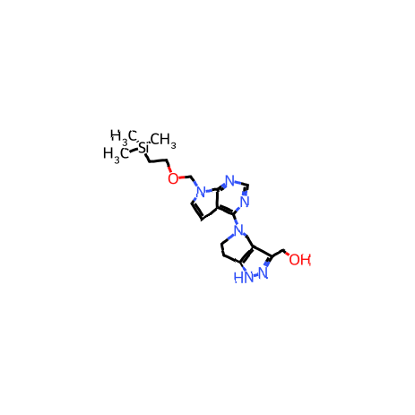 C[Si](C)(C)CCOCn1ccc2c(N3CCc4[nH]nc(CO)c4C3)ncnc21